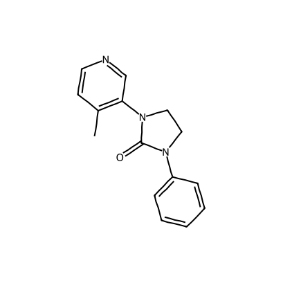 Cc1ccncc1N1CCN(c2ccccc2)C1=O